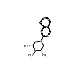 C[C@@H]1CN(c2ncc3ccccc3n2)C[C@H](C)N1C(=O)O